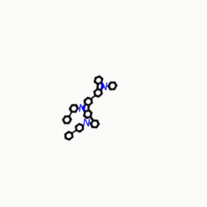 c1ccc(-c2ccc(-n3c4ccccc4c4cc5c6cc(-c7ccc8c(c7)c7ccccc7n8-c7ccccc7)ccc6n(-c6cccc(-c7ccccc7)c6)c5cc43)cc2)cc1